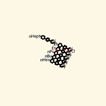 CCC1CCC(c2ccc(-c3ccc(Cl)nc3)cc2)CC1.CCC1CCC(c2ccc(-c3ccc(F)nc3)cc2)CC1.CCCC1CCC(c2ccc(-c3ccc(F)nc3)cc2)CC1.CCCCC1CCC(c2ccc(-c3ccc(F)nc3)cc2)CC1.CCCCCCC1CCC(c2ccc(-c3ccc(F)nc3)cc2)CC1.CCCCCCCC1CCC(c2ccc(-c3ccc(F)nc3)cc2)CC1